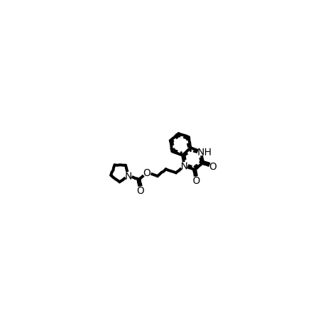 O=C(OCCCn1c(=O)c(=O)[nH]c2ccccc21)N1CCCC1